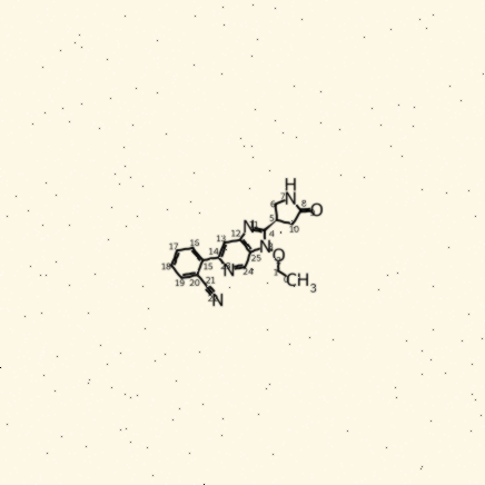 CCOn1c([C@H]2CNC(=O)C2)nc2cc(-c3ccccc3C#N)ncc21